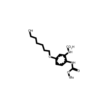 CC(C)(C)OC(=O)Nc1ccc(OCCCCCCO)cc1NC(=O)O